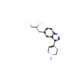 CN1CC=C(c2c[nH]c3ccc(CC(N)CO)cc23)CC1